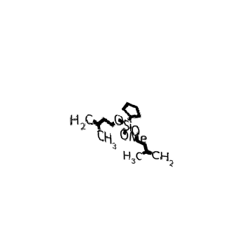 C=C(C)CCO[Si](OC)(OCCC(=C)C)C1CCCC1